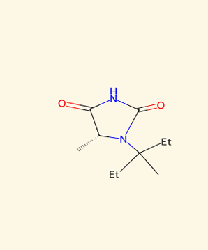 CCC(C)(CC)N1C(=O)NC(=O)[C@H]1C